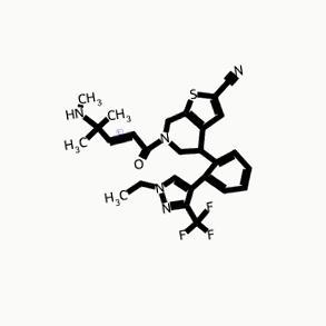 CCn1cc(-c2ccccc2C2CN(C(=O)/C=C/C(C)(C)NC)Cc3sc(C#N)cc32)c(C(F)(F)F)n1